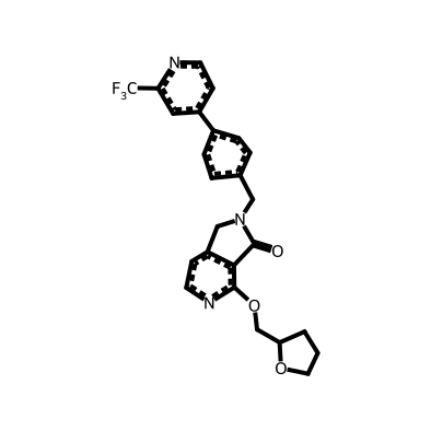 O=C1c2c(ccnc2OCC2CCCO2)CN1Cc1ccc(-c2ccnc(C(F)(F)F)c2)cc1